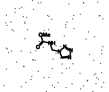 COC(=O)NCn1[c]nnn1